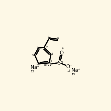 C=Cc1ccccc1.O=S([O-])[O-].[Na+].[Na+]